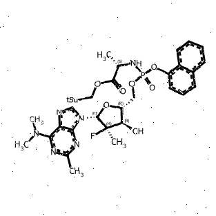 Cc1nc(N(C)C)c2ncn([C@@H]3O[C@H](COP(=O)(N[C@@H](C)C(=O)OCC(C)(C)C)Oc4cccc5ccccc45)[C@@H](O)[C@@]3(C)F)c2n1